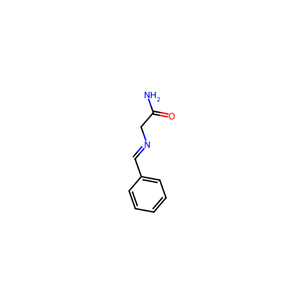 NC(=O)C/N=C/c1ccccc1